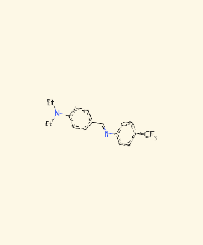 CCN(CC)c1ccc(/C=N/c2ccc(C(F)(F)F)cc2)cc1